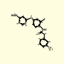 CNc1cc(Oc2ccc(NC(=O)Cc3cccc(C(F)(F)F)c3)c(C)c2)ncn1